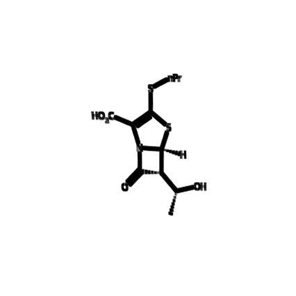 CCCSC1=C(C(=O)O)N2C(=O)[C@@H]([C@@H](C)O)[C@@H]2S1